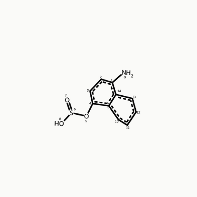 Nc1ccc(OS(=O)O)c2ccccc12